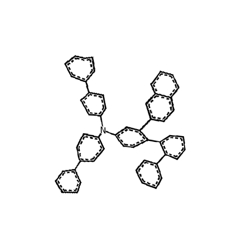 c1ccc(-c2ccc(N(c3ccc(-c4ccccc4)cc3)c3ccc(-c4ccccc4-c4ccccc4)c(-c4ccc5ccccc5c4)c3)cc2)cc1